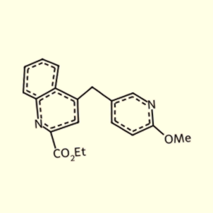 CCOC(=O)c1cc(Cc2ccc(OC)nc2)c2ccccc2n1